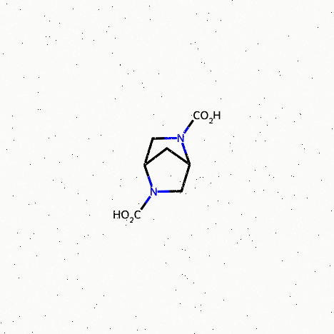 O=C(O)N1CC2CC1CN2C(=O)O